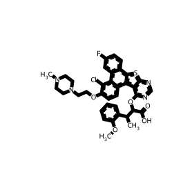 COc1ccccc1C(C)C(Oc1ncnc2sc3c4ccc(F)cc4c4c(Cl)c(OCCN5CCN(C)CC5)ccc4c3c12)C(=O)O